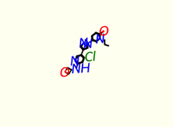 CCCn1cc(-n2cc(-c3cnc(NC4COC4)cc3Cl)cn2)ccc1=O